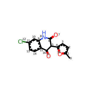 Cc1ccc(C2C(=O)Nc3cc(Cl)ccc3C2=O)o1